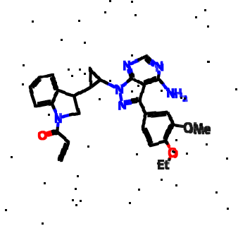 C=CC(=O)N1CC(C2CC2n2nc(-c3ccc(OCC)c(OC)c3)c3c(N)ncnc32)c2ccccc21